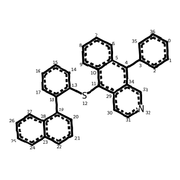 c1ccc(-c2c3ccccc3c(Sc3ccccc3-c3cccc4ccccc34)c3ccncc23)cc1